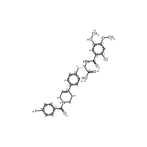 COc1cc(Cl)c(C(=O)N[C@@H](Cc2ccc(C3=CCN(C(=O)c4ccc(F)cc4)CC3)cc2)C(=O)O)cc1OC